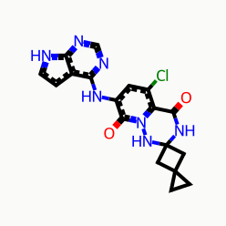 O=C1NC2(CC3(CC3)C2)Nn2c1c(Cl)cc(Nc1ncnc3[nH]ccc13)c2=O